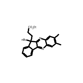 CCCCC1(CCC(=O)OCC)c2ccccc2-c2nc3cc(C)c(C)cc3nc21